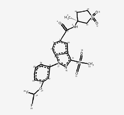 C[C@]1(NC(=O)c2ccc3c(c2)c(S(C)(=O)=O)nn3-c2cccc(OC(F)F)c2)CCS(=O)(=O)C1